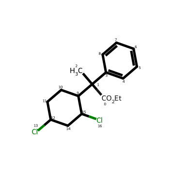 CCOC(=O)C(C)(c1ccccc1)C1CCC(Cl)CC1Cl